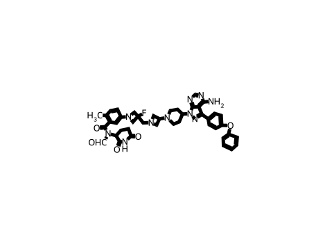 Cc1ccc(N2CC(F)(CN3CC(N4CCC(n5nc(-c6ccc(Oc7ccccc7)cc6)c6c(N)ncnc65)CC4)C3)C2)cc1C(=O)N(C=O)C1CCC(=O)NC1=O